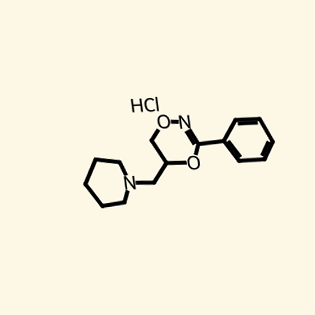 Cl.c1ccc(C2=NOCC(CN3CCCCC3)O2)cc1